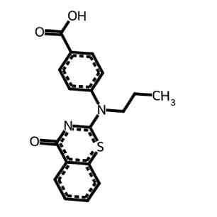 CCCN(c1ccc(C(=O)O)cc1)c1nc(=O)c2ccccc2s1